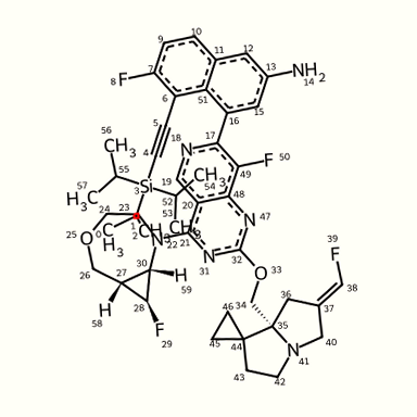 CC(C)[Si](C#Cc1c(F)ccc2cc(N)cc(-c3ncc4c(N5CCOC[C@H]6[C@H](F)[C@H]65)nc(OC[C@]56C/C(=C\F)CN5CCC65CC5)nc4c3F)c12)(C(C)C)C(C)C